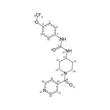 O=C(Nc1ccc(OC(F)(F)F)cc1)NC1CCN(C(=O)c2ccncc2)CC1